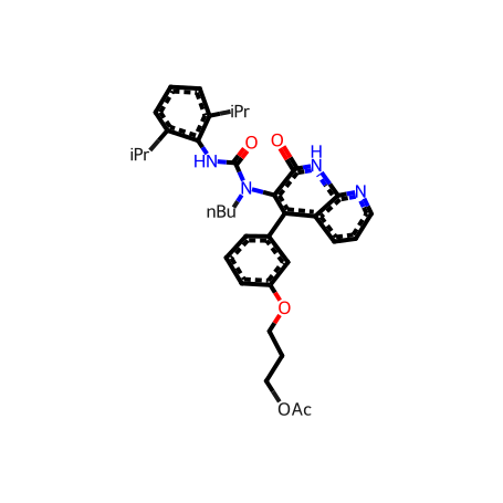 CCCCN(C(=O)Nc1c(C(C)C)cccc1C(C)C)c1c(-c2cccc(OCCCOC(C)=O)c2)c2cccnc2[nH]c1=O